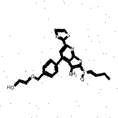 CCCC[S+]([O-])c1sc2nc(-c3nccs3)cc(-c3ccc(COCCO)cc3)c2c1N